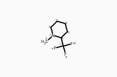 CN1CC[CH]CC1C(F)(F)F